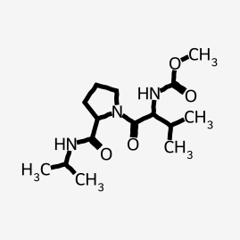 COC(=O)NC(C(=O)N1CCCC1C(=O)NC(C)C)C(C)C